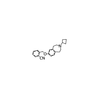 N#Cc1ccccc1COc1ccc2c(c1)CCN(C1CCC1)CC2